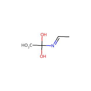 CC=NC(O)(O)C(=O)O